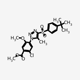 COC(=O)c1cc(OC)c(-n2nnc(S(=O)(=O)c3ccc(C(C)(C)C)cc3)c2C)cc1Cl